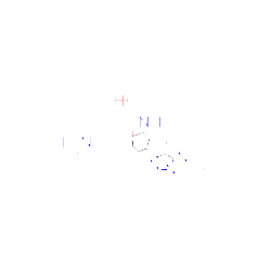 Nc1ncnc2c1C1(CCCC1)Cc1c-2ccc(OC2CCC(N)CC2)c1NCCO